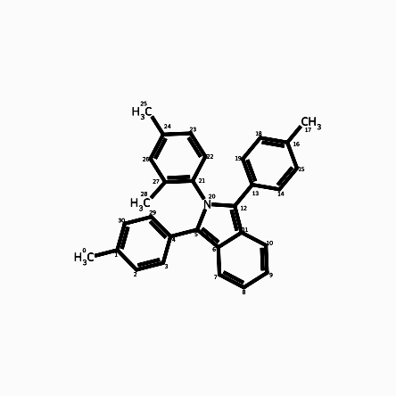 Cc1ccc(-c2c3ccccc3c(-c3ccc(C)cc3)n2-c2ccc(C)cc2C)cc1